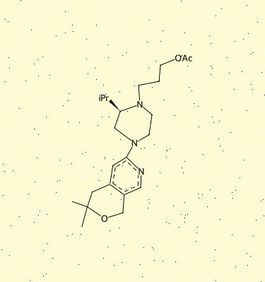 CC(=O)OCCCN1CCN(c2cc3c(cn2)COC(C)(C)C3)C[C@H]1C(C)C